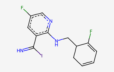 N=C(I)c1cc(F)cnc1NCC1CC=CC=C1F